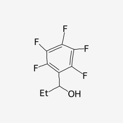 CCC(O)c1c(F)c(F)c(F)c(F)c1F